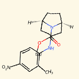 Cc1cc([N+](=O)[O-])ccc1NC1C[C@H]2CC[C@@H](C1)N2C(=O)OC(C)(C)C